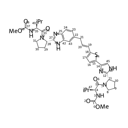 COC(=O)N[C@H](C(=O)N1CCC[C@H]1c1nc(-c2ccc(C=CCc3ccc4nc([C@@H]5CCCN5C(=O)[C@@H](NC(=O)OC)C(C)C)[nH]c4c3)s2)c[nH]1)C(C)C